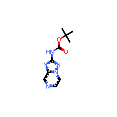 CC(C)(C)OC(=O)Nc1nc2cnccn2n1